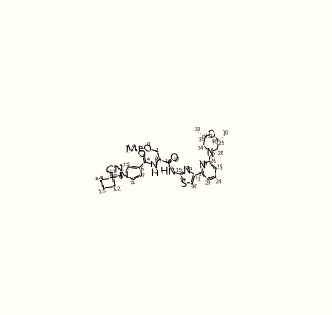 COC[C@H](NC(=O)c1ccn(C2(C#N)CCC2)c1)C(=O)Nc1nc(-c2cccc(N3C[C@@H](C)O[C@@H](C)C3)n2)cs1